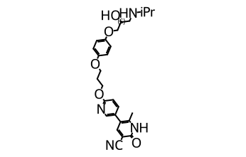 Cc1[nH]c(=O)c(C#N)cc1-c1ccc(OCCCOc2ccc(OC[C@@H](O)CNC(C)C)cc2)nc1